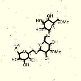 COCC1OC(OCC2OC(OCC3OC(OC(C)C)C(O)C(O)C3O)C(O)C(OC)C2O)C(O)C(O)C1O